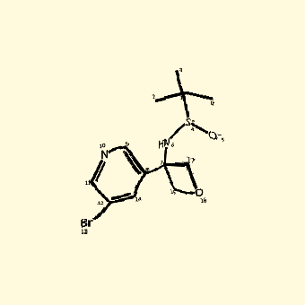 CC(C)(C)[S+]([O-])NC1(c2cncc(Br)c2)COC1